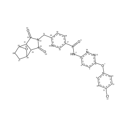 O=C(Nc1ccc(Oc2ccc(Cl)cc2)nn1)c1ccc(CN2C(=O)C3C4CCC(O4)C3C2=O)nc1